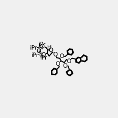 CC(C)[Si]1(C(C)C)OC[C@H]2O[C@@H](OCC(OCc3ccccc3)C(OCc3ccccc3)C(COCc3ccc4ccccc4c3)OCc3ccccc3)CC2O[Si](C(C)C)(C(C)C)O1